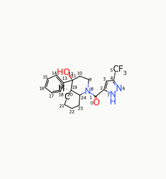 O=C(c1cc(C(F)(F)F)n[nH]1)N1CC[C@@](O)(c2ccccc2)[C@@H]2CCCCC21